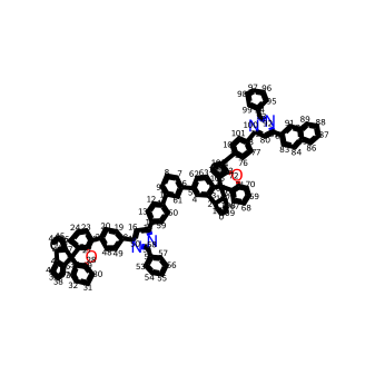 C1=CC2c3cc(-c4cccc(-c5ccc(-c6cc(-c7ccc(-c8cccc9c8Oc8ccccc8C98c9ccccc9-c9ccccc98)cc7)nc(-c7ccccc7)n6)cc5)c4)ccc3C3(c4ccccc4Oc4c(-c5ccc(-c6cc(-c7ccc8ccccc8c7)nc(-c7ccccc7)n6)cc5)cccc43)C2C=C1